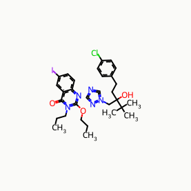 CC(C)(C)C(O)(CCc1ccc(Cl)cc1)Cn1cncn1.CCCOc1nc2ccc(I)cc2c(=O)n1CCC